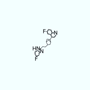 Fc1ccc2[nH]c(CCC3CC4CC3CC4c3ccnc4ccc(F)cc34)nc2c1